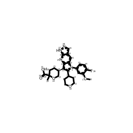 COc1cc(-n2c(C3CCOCC3)c([C@@H]3CCC(C)(C(=O)O)OC3)c3nc4[nH]ncc4cc32)ccc1F